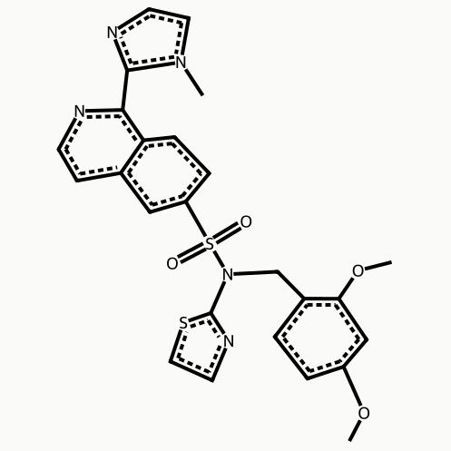 COc1ccc(CN(c2nccs2)S(=O)(=O)c2ccc3c(-c4nccn4C)nccc3c2)c(OC)c1